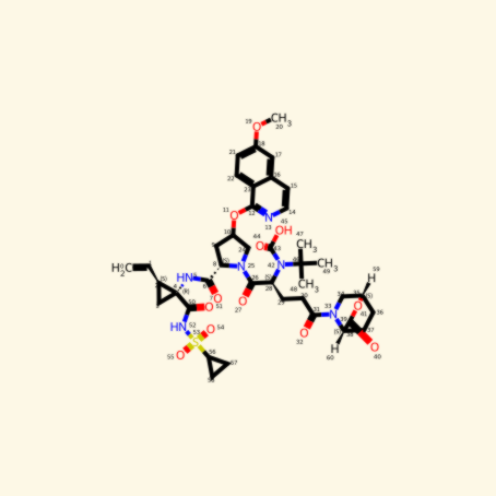 C=C[C@@H]1C[C@]1(NC(=O)[C@@H]1CC(Oc2nccc3cc(OC)ccc23)CN1C(=O)[C@H](CCC(=O)N1C[C@@H]2CC[C@H]1C(=O)O2)N(C(=O)O)C(C)(C)C)C(=O)NS(=O)(=O)C1CC1